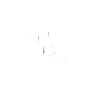 CC(C)=Nc1ccc(O)cc1